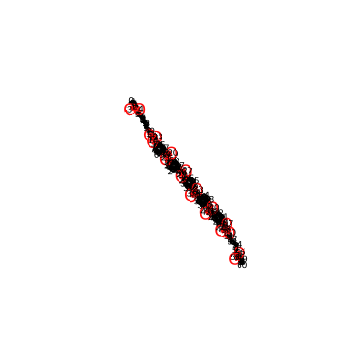 C=CC(=O)OCCCCCCOC(=O)Oc1ccc(C(=O)Oc2ccc(C(=O)Oc3ccc(OC(=O)c4ccc(OC(=O)c5ccc(OC(=O)OCCCCCOC(=O)C=C)cc5)cc4)cc3)cc2)cc1